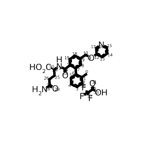 Cc1ccccc1-c1cc(COc2cccnc2)ccc1C(=O)N[C@@H](CCC(N)=O)C(=O)O.O=C(O)C(F)(F)F